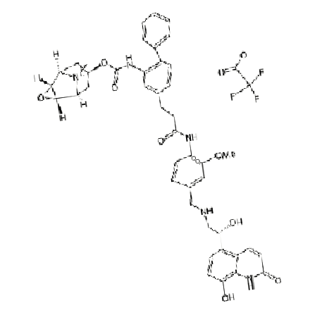 COc1cc(CNC[C@H](O)c2ccc(O)c3[nH]c(=O)ccc23)ccc1NC(=O)CCc1ccc(-c2ccccc2)c(NC(=O)O[C@@H]2C[C@@H]3[C@H]4O[C@H]4[C@H](C2)[N+]3(C)C)c1.O=C([O-])C(F)(F)F